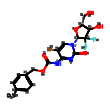 O=C(Nc1nc(=O)n([C@@H]2O[C@H](CO)C(O)C2(F)F)cc1Br)OCc1ccc([N+](=O)[O-])cc1